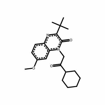 COc1ccc2nc(C(C)(C)C)c(=O)n(CC(=O)C3CCCCC3)c2c1